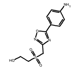 Nc1ccc(-c2nc(CS(=O)(=O)CCO)no2)cc1